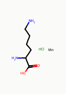 Cl.NCCCCC(N)C(=O)O.[Mn]